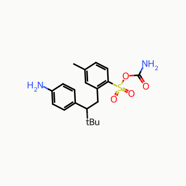 Cc1ccc(S(=O)(=O)OC(N)=O)c(CC(c2ccc(N)cc2)C(C)(C)C)c1